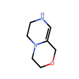 C1=C2COCCN2CCN1